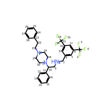 FC(F)(F)c1cc(CNCC(c2ccccc2)N2CCN(CCc3ccccc3)CC2)cc(C(F)(F)F)c1